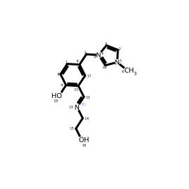 Cn1cc[n+](Cc2ccc(O)c(/C=N/CCO)c2)c1